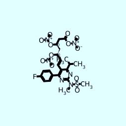 CC(C)c1nc(N(C)S(C)(=O)=O)nc(-c2ccc(F)cc2)c1C=C[C@@H](C[C@H](CC(=O)O[N+](=O)[O-])O[N+](=O)[O-])O[N+](=O)[O-]